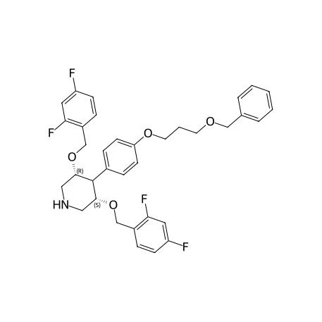 Fc1ccc(CO[C@H]2CNC[C@@H](OCc3ccc(F)cc3F)C2c2ccc(OCCCOCc3ccccc3)cc2)c(F)c1